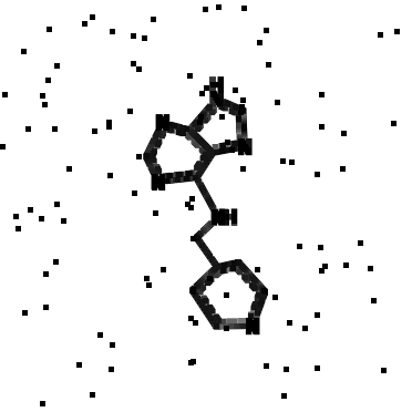 c1cc(CNc2ncnc3[nH]cnc23)ccn1